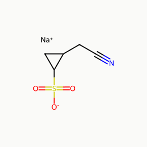 N#CCC1CC1S(=O)(=O)[O-].[Na+]